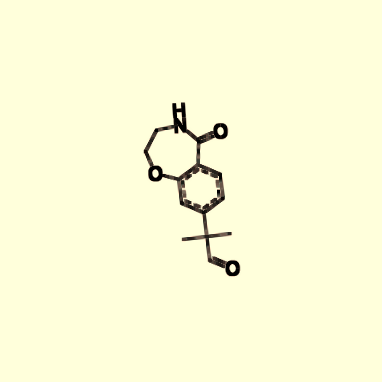 CC(C)(C=O)c1ccc2c(c1)OCCNC2=O